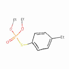 CCOP(=O)(OCC)Sc1ccc(CC)cc1